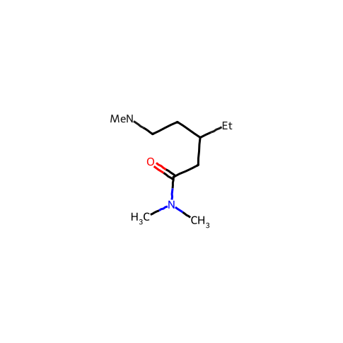 CCC(CCNC)CC(=O)N(C)C